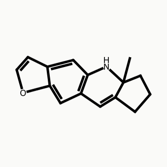 CC12CCCC1=Cc1cc3occc3cc1N2